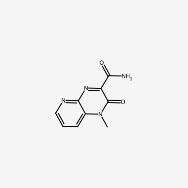 Cn1c(=O)c(C(N)=O)nc2ncccc21